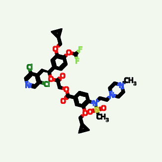 CN1CCN(CCN(c2ccc(C(=O)OCC(=O)O[C@@H](Cc3c(Cl)cncc3Cl)c3ccc(OC(F)F)c(OCC4CC4)c3)cc2OCC2CC2)S(C)(=O)=O)CC1